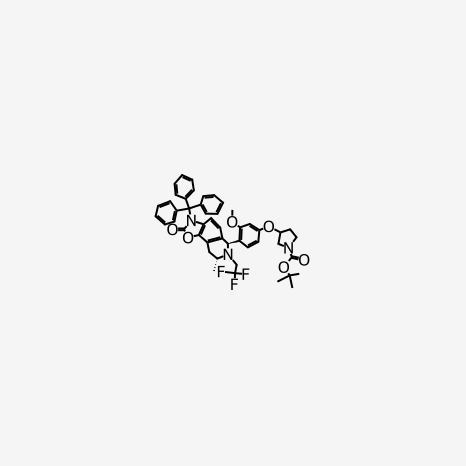 COc1cc(OC2CCN(C(=O)OC(C)(C)C)C2)ccc1[C@@H]1c2ccc3c(oc(=O)n3C(c3ccccc3)(c3ccccc3)c3ccccc3)c2C[C@@H](C)N1CC(F)(F)F